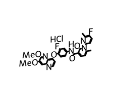 COc1cc2nccc(Oc3ccc(NC(=O)c4ccc(C)n(-c5ccc(F)c(C)n5)c4=O)cc3F)c2nc1OC.Cl